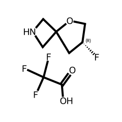 F[C@H]1COC2(CNC2)C1.O=C(O)C(F)(F)F